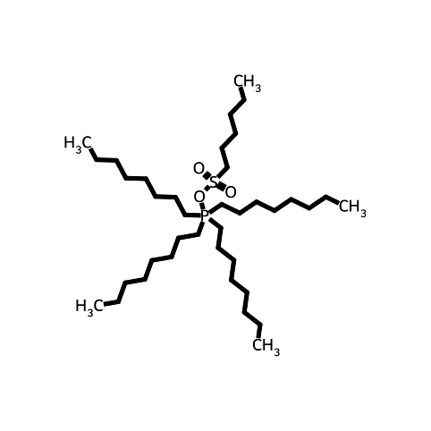 CCCCCCCCP(CCCCCCCC)(CCCCCCCC)(CCCCCCCC)OS(=O)(=O)CCCCCC